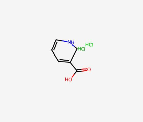 Cl.Cl.O=C(O)C1=CC=CNC1